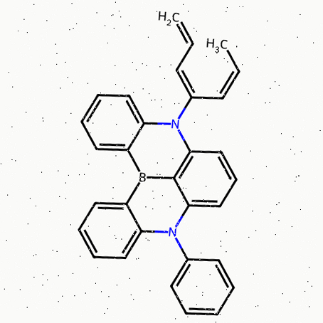 C=C/C=C(\C=C/C)N1c2ccccc2B2c3ccccc3N(c3ccccc3)c3cccc1c32